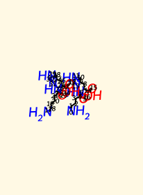 NCCCC(=O)N[C@@H](Cc1c[nH]cn1)C(=O)O.NCCCCC(=O)N[C@@H](Cc1c[nH]cn1)C(=O)O